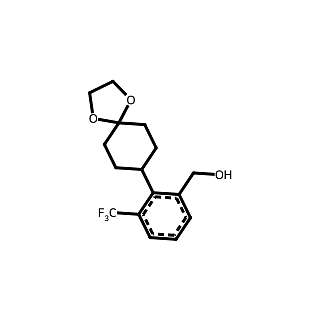 OCc1cccc(C(F)(F)F)c1C1CCC2(CC1)OCCO2